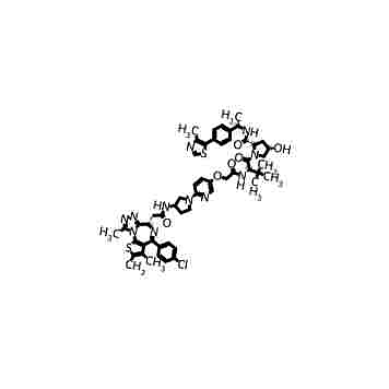 Cc1ncsc1-c1ccc([C@H](C)NC(=O)[C@@H]2C[C@@H](O)CN2C(=O)[C@@H](NC(=O)COc2ccc(N3CCC(NC(=O)C[C@@H]4N=C(c5ccc(Cl)cc5)c5c(sc(C)c5C)-n5c(C)nnc54)C3)nc2)C(C)(C)C)cc1